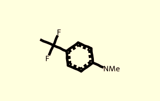 CNc1ccc(C(C)(F)F)cc1